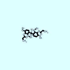 C=CC(=O)Oc1c(OCC)ccc(C(C)(C)c2ccc(OCC)c(OC(=O)C=C)c2OCC)c1OCC